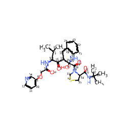 CC(C)C(NC(=O)COc1cccnc1)C(=O)C(Cc1ccccc1)C(N)(O)C(=O)N1CSCC1C(=O)NC(C)(C)C